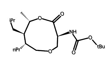 CCC[C@H]1COC[C@H](NC(=O)OC(C)(C)C)C(=O)O[C@@H](C)[C@@H]1CC(C)C